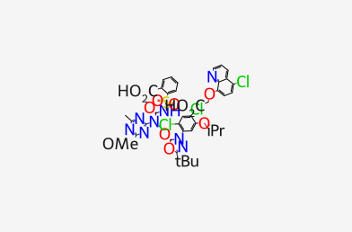 CC(C)Oc1cc(-n2nc(C(C)(C)C)oc2=O)c(Cl)cc1Cl.COc1nc(C)nc(N(C)C(=O)NS(=O)(=O)c2ccccc2C(=O)O)n1.O=C(O)COc1ccc(Cl)c2cccnc12